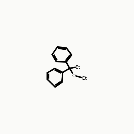 CCOC(CC)(c1ccccc1)c1ccccc1